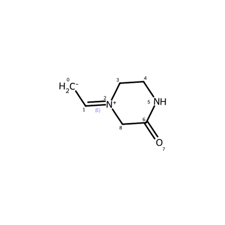 [CH2-]/C=[N+]1\CCNC(=O)C1